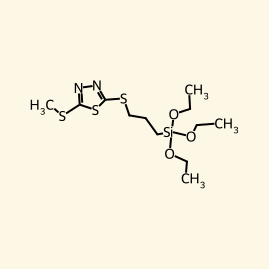 CCO[Si](CCCSc1nnc(SC)s1)(OCC)OCC